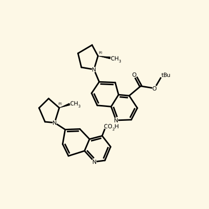 C[C@@H]1CCCN1c1ccc2nccc(C(=O)O)c2c1.C[C@@H]1CCCN1c1ccc2nccc(C(=O)OC(C)(C)C)c2c1